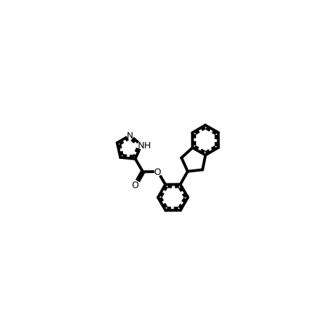 O=C(Oc1ccccc1C1Cc2ccccc2C1)c1ccn[nH]1